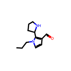 CCCn1ccc(C=O)c1C1CCCN1